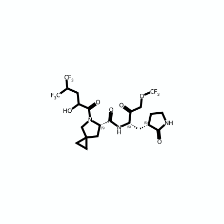 O=C1NCC[C@H]1C[C@H](NC(=O)[C@@H]1CC2(CC2)CN1C(=O)C(O)CC(C(F)(F)F)C(F)(F)F)C(=O)COC(F)(F)F